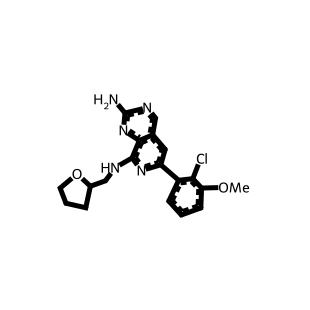 COc1cccc(-c2cc3cnc(N)nc3c(NCC3CCCO3)n2)c1Cl